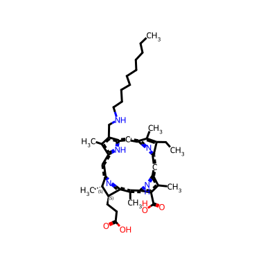 CCCCCCCCCCNCc1c(C)c2cc3nc(c(C)c4[nH]c(cc5nc(cc1[nH]2)C(C)=C5CC)c(C)c4C(=O)O)[C@@H](CCC(=O)O)[C@@H]3C